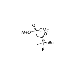 CCCC[C@](C)(F)C(=O)CP(=O)(OC)OC